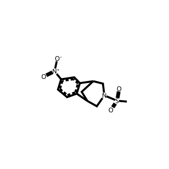 CS(=O)(=O)N1CC2CC(C1)c1cc([N+](=O)[O-])ccc12